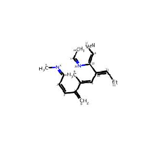 C=C(/C=C\C=N/C)/C(C)=C/C(=C\CC)C(=C/NC)/N=C\C